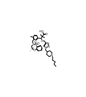 CCCCCN1CCC(Cn2cc(COC(c3ccc(C)c(CN4C[C@@H](C)Oc5ccccc5S4(=O)=O)c3)C(C)(C)C(=O)O)nn2)CC1